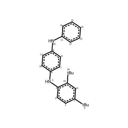 CC(C)(C)c1ccc(Nc2ccc(Nc3ccccc3)cc2)c(C(C)(C)C)c1